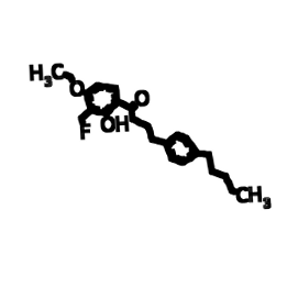 CCCCCc1ccc(CCCC(=O)c2ccc(OCC)c(CF)c2O)cc1